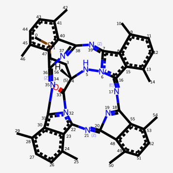 CSCC[C@@H]1Nn2/c3c4c(C)ccc(C)c4/c2=N\C2=NC(=N\c4c5c(C)ccc(C)c5c(n4C1=O)/N=C1N=C(/N=3)c3c(C)ccc(C)c3\1)/c1c(C)ccc(C)c12